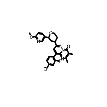 COc1ccc(C2CC(c3cc(-c4ccc(Cl)cc4F)c4nc(C)c(C)c(=O)n4n3)CCO2)cn1